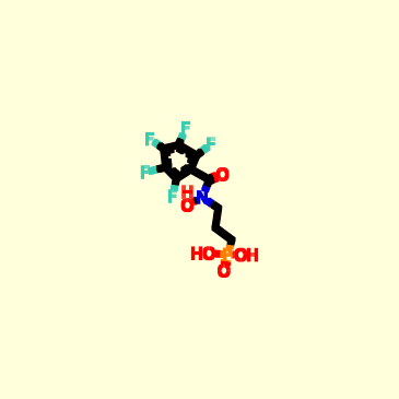 O=C(c1c(F)c(F)c(F)c(F)c1F)N(O)CCCP(=O)(O)O